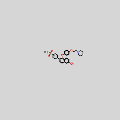 CS(=O)(=O)[C@H]1CC=C(c2ccc3cc(O)ccc3c2Oc2ccc(OCCN3CCCCC3)cc2)CC1